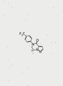 C[C@@H]1CN(c2ccc(C(F)(F)F)cc2)C(=O)c2ccnn21